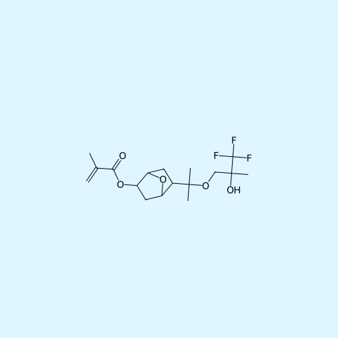 C=C(C)C(=O)OC1CC2OC1CC2C(C)(C)OCC(C)(O)C(F)(F)F